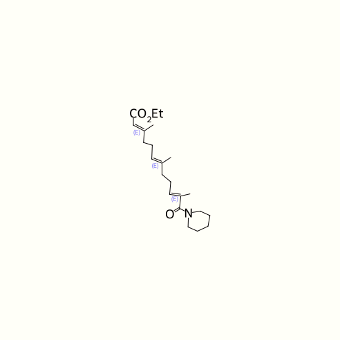 CCOC(=O)/C=C(\C)CC/C=C(\C)CC/C=C(\C)C(=O)N1CCCCC1